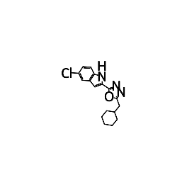 Clc1ccc2[nH]c(-c3nnc(CC4CCCCC4)o3)cc2c1